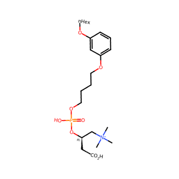 CCCCCCOc1cccc(OCCCCOP(=O)(O)O[C@H](CC(=O)O)C[N+](C)(C)C)c1